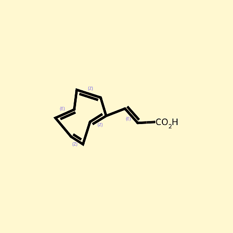 O=C(O)/C=C/C1=C\C=C/C=C/C=C\1